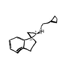 c1ccc2c(c1)CC[C@]21C[C@H]1NCC1CC1